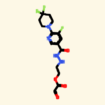 O=CC(=O)OCCNNC(=O)c1cnc(N2CCC(F)(F)CC2)c(F)c1